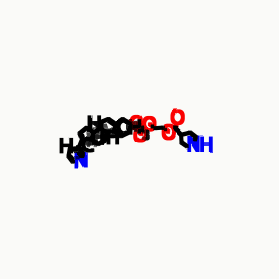 C[C@]12CC[C@H](OC(=O)OCCOC(=O)C3CCNCC3)CC1=CC[C@@H]1[C@@H]2CC[C@]2(C)C(c3cccnc3)=CC[C@@H]12